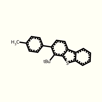 Cc1ccc(-c2ccc3c(sc4ccccc43)c2C(C)(C)C)cc1